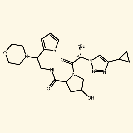 CC(C)(C)[C@@H](C(=O)N1CC(O)CC1C(=O)NCC(c1cccs1)N1CCOCC1)n1cc(C2CC2)nn1